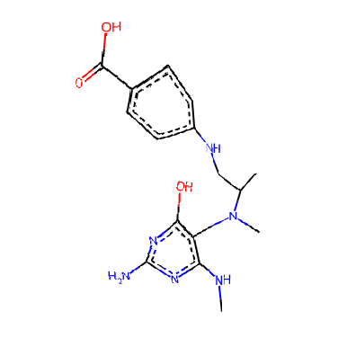 CNc1nc(N)nc(O)c1N(C)C(C)CNc1ccc(C(=O)O)cc1